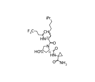 C=C(CCC(F)(F)F)N[C@@H](CCCCCC(C)C)C(=O)N1C[C@H](O)C[C@H]1C(=O)NC1(C(N)=O)CC1